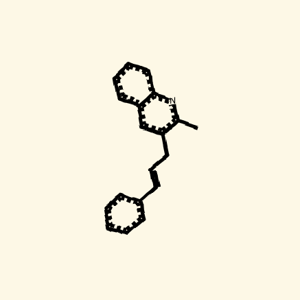 Cc1nc2ccccc2cc1CC=Cc1ccccc1